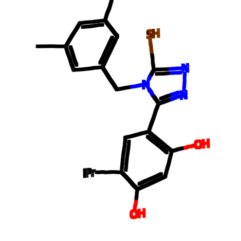 Cc1cc(C)cc(Cn2c(S)nnc2-c2cc(C(C)C)c(O)cc2O)c1